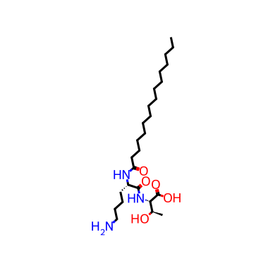 CCCCCCCCCCCCCCCC(=O)N[C@@H](CCCCN)C(=O)N[C@H](C(=O)O)[C@@H](C)O